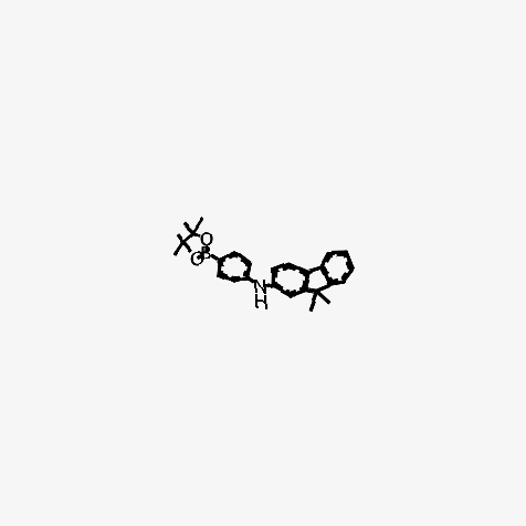 CC1(C)c2ccccc2-c2ccc(Nc3ccc(B4OC(C)(C)C(C)(C)O4)cc3)cc21